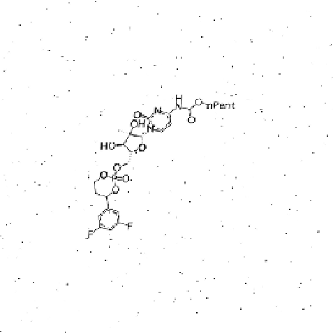 CCCCCOC(=O)Nc1ccn([C@@H]2O[C@H](COP3(=O)OCCC(c4cc(F)cc(F)c4)O3)[C@@H](O)[C@@]2(C)O)c(=O)n1